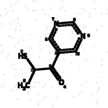 CC(S)C(=O)c1cncnc1